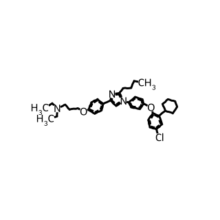 CCCCc1nc(-c2ccc(OCCCN(CC)CC)cc2)cn1-c1ccc(Oc2ccc(Cl)cc2C2CCCCC2)cc1